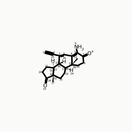 C#CC1=CC2=C(N)C(=O)CC[C@]2(C)[C@H]2CC[C@]3(C)C(=O)CC[C@H]3[C@H]12